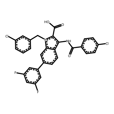 O=C(Nc1c(C(=O)O)n(Cc2cccc(Cl)c2)c2cc(-c3cc(F)cc(F)c3)ccc12)c1ccc(Cl)cc1